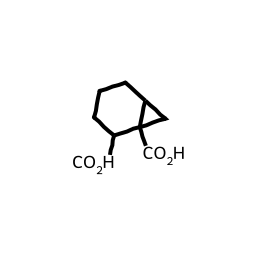 O=C(O)C1CCCC2CC21C(=O)O